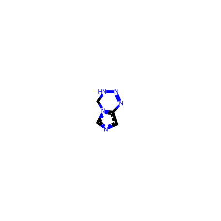 c1ncn2c1N=NNC2